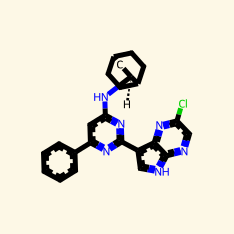 Clc1cnc2[nH]cc(-c3nc(N[C@H]4CC5CCC4CC5)cc(-c4ccccc4)n3)c2n1